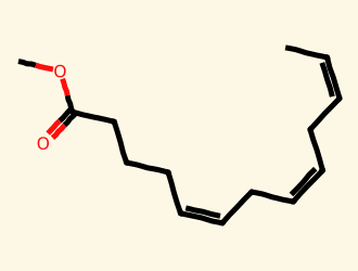 C/C=C\C/C=C\C/C=C\CCCC(=O)OC